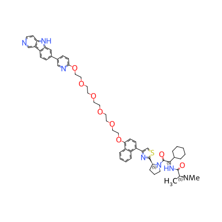 CN[C@@H](C)C(=O)N[C@H](C(=O)N1CCC[C@H]1c1nc(-c2ccc(OCCOCCOCCOCCOCCOc3ccc(-c4ccc5c(c4)[nH]c4ccncc45)cn3)c3ccccc23)cs1)C1CCCCC1